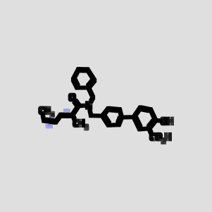 C/C=C\C=C(/C)C(=O)N(Cc1ccccc1)Cc1ccc(-c2ccc(O)c(C(=O)O)c2)cc1